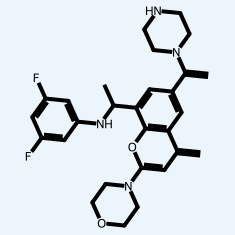 C=C1C=C(N2CCOCC2)Oc2c1cc(C(=C)N1CCNCC1)cc2C(C)Nc1cc(F)cc(F)c1